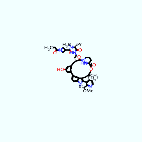 C=CC(=O)N1CC(C(=O)N(C)[C@H](C(=O)NCC[C@H]2Cc3cc(O)cc(c3)-c3ccc4c(c3)c(c(-c3cccnc3COC)n4CC)CC(C)(C)COC(=O)[C@@H]3CCCN(N3)C2=O)C(C)C)C1